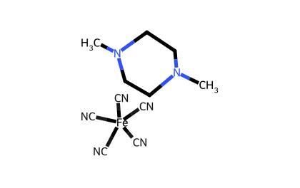 CN1CCN(C)CC1.N#[C][Fe]([C]#N)([C]#N)([C]#N)[C]#N